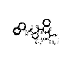 CC(C(=O)NC(C(=O)N1C[C@@H](N)C[C@H]1C(=O)N[C@@H]1CCCc2ccccc21)C1CCCCC1)N(C)C(=O)O